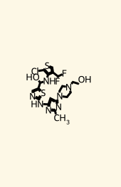 Cc1nc(Nc2ncc(C(O)Nc3c(C(F)F)csc3Cl)s2)cc(N2CCN(CCO)CC2)n1